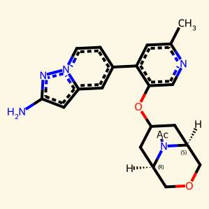 CC(=O)N1[C@@H]2COC[C@H]1CC(Oc1cnc(C)cc1-c1ccn3nc(N)cc3c1)C2